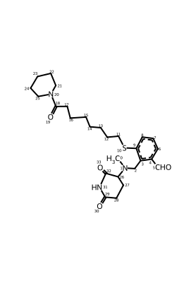 CN(Cc1c(C=O)cccc1SCCCCCCCC(=O)N1CCCCC1)C1CCC(=O)NC1=O